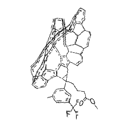 COC(=O)CCCC1(c2cc(C)cc(C(F)(F)F)c2)C2c3c4c5c6c3c3c(c7ccc8c9ccc%10c%11c%12c%13c(c6c6c%13c(c%119)c8c7c36)=C3C5C(C=C4)C4C=CC%10C%12C34)C21